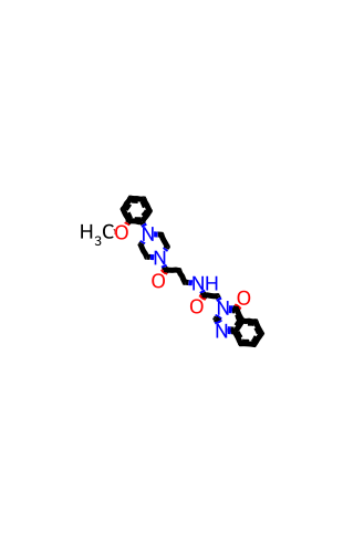 COc1ccccc1N1CCN(C(=O)CCNC(=O)Cn2cnc3ccccc3c2=O)CC1